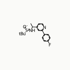 CC(N[S@+]([O-])C(C)(C)C)c1ccnc(-c2ccc(F)cc2)c1